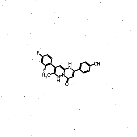 CC1=C(c2ccc(F)cc2F)C=C2NC(c3ccc(C#N)cc3)=CC(=O)N2N1